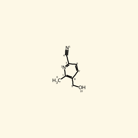 Cc1nc(C#N)ccc1CO